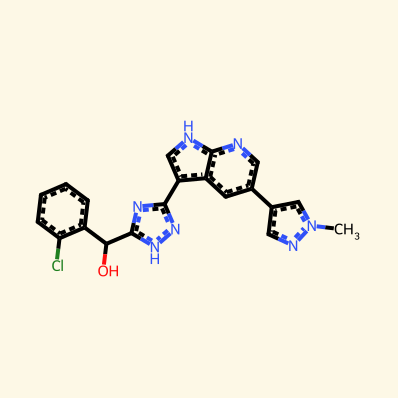 Cn1cc(-c2cnc3[nH]cc(-c4n[nH]c(C(O)c5ccccc5Cl)n4)c3c2)cn1